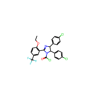 CCOc1ccc(C(F)(F)F)cc1C1=NC(c2ccc(Cl)cc2)C(c2ccc(Cl)cc2)N1C(=O)Cl